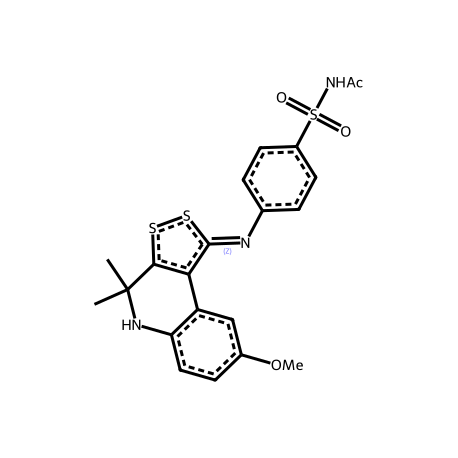 COc1ccc2c(c1)-c1c(ss/c1=N\c1ccc(S(=O)(=O)NC(C)=O)cc1)C(C)(C)N2